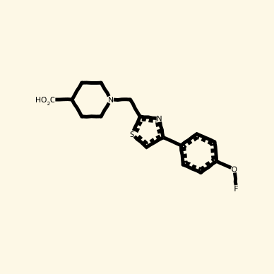 O=C(O)C1CCN(Cc2nc(-c3ccc(OF)cc3)cs2)CC1